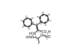 CCCCCCC(C)ON=O.NC(C(=O)O)=C(c1ccccc1)c1ccccc1